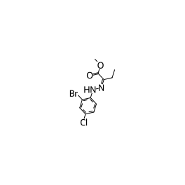 CCC(=NNc1ccc(Cl)cc1Br)C(=O)OC